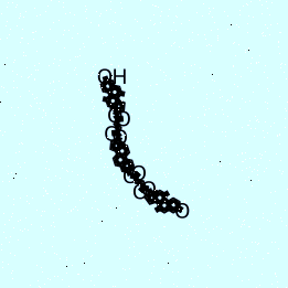 CC1CC2(C)C(OC(=O)CCC(=O)Oc3ccc4c(c3)CCC3C4CCC4(C)C(OC(=O)CCC(=O)OC5CCC6C7C(C)CC8=CC(O)CCC8C7C(C)CC56C)CCC34)CCC2C2C(C)CC3=CC(=O)CCC3C12